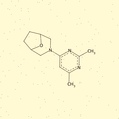 Cc1cc(N2CC3CCC(C2)O3)nc(C)n1